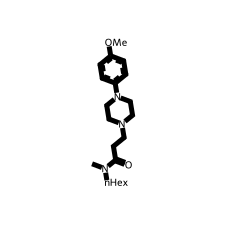 CCCCCCN(C)C(=O)CCN1CCN(c2ccc(OC)cc2)CC1